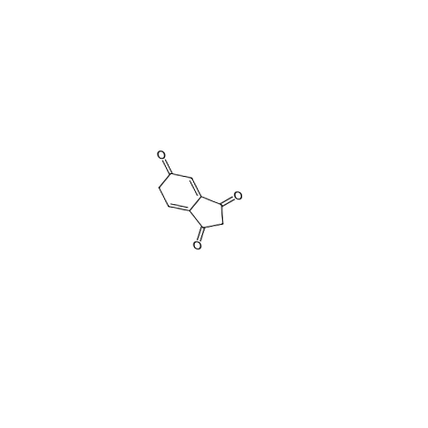 O=C1C=C2C(=O)CC(=O)C2=CC1